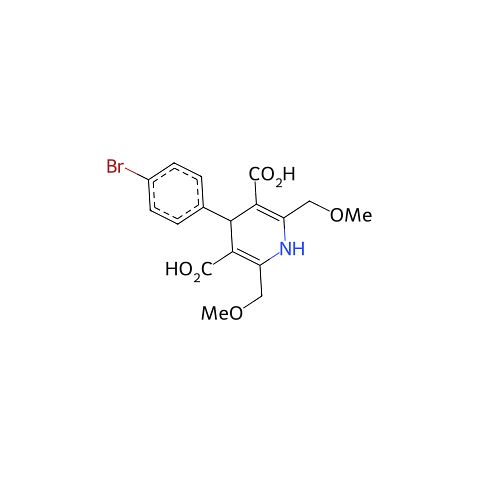 COCC1=C(C(=O)O)C(c2ccc(Br)cc2)C(C(=O)O)=C(COC)N1